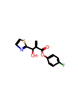 C=C(C(=O)Oc1ccc(F)cc1)C(O)c1nccs1